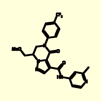 COCC1CN(c2ccc(C(F)(F)F)cc2)C(=O)c2c(C(=O)Nc3ccnc(C)c3)cnn21